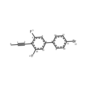 CC#Cc1c(F)cc(-c2ccc(Br)cc2)cc1F